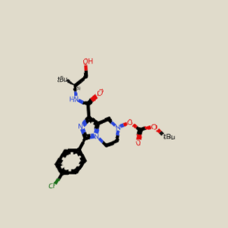 CC(C)(C)OC(=O)ON1CCn2c(-c3ccc(Cl)cc3)nc(C(=O)N[C@H](CO)C(C)(C)C)c2C1